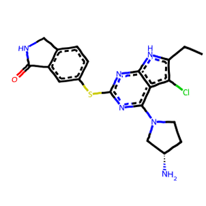 CCc1[nH]c2nc(Sc3ccc4c(c3)C(=O)NC4)nc(N3CC[C@H](N)C3)c2c1Cl